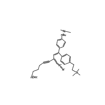 CCCCCCCCCCCCCC#CC(=C=[N+]=[N-])C=C(c1ccc(CCCC)cc1)c1ccc(CC[Si](C)(C)C)cc1.[CH3][Ni][CH3]